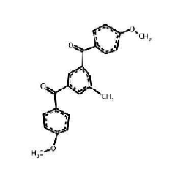 COc1ccc(C(=O)c2cc(C)cc(C(=O)c3ccc(OC)cc3)c2)cc1